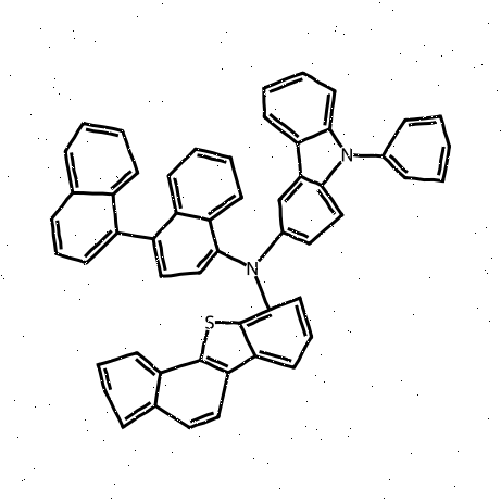 c1ccc(-n2c3ccccc3c3cc(N(c4ccc(-c5cccc6ccccc56)c5ccccc45)c4cccc5c4sc4c6ccccc6ccc54)ccc32)cc1